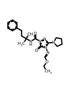 CCOC=Nn1c(N2CCCC2)nn(C(=O)NC(C)(C)CCc2ccccc2)c1=O